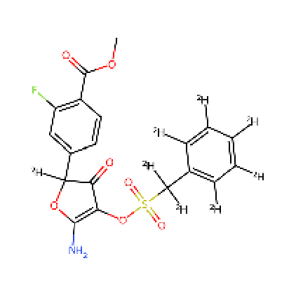 [2H]c1c([2H])c([2H])c(C([2H])([2H])S(=O)(=O)OC2=C(N)OC([2H])(c3ccc(C(=O)OC)c(F)c3)C2=O)c([2H])c1[2H]